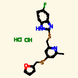 Cc1cc(SCc2ccco2)cc(CSc2nc3cc(F)ccc3[nH]2)n1.Cl.Cl